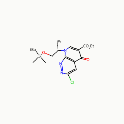 CCOC(=O)c1cn([C@H](CO[Si](C)(C)C(C)(C)C)C(C)C)c2nnc(Cl)cc2c1=O